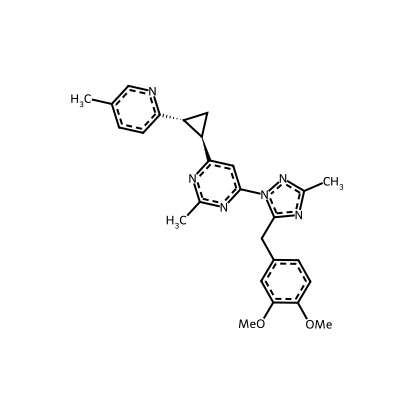 COc1ccc(Cc2nc(C)nn2-c2cc([C@@H]3C[C@H]3c3ccc(C)cn3)nc(C)n2)cc1OC